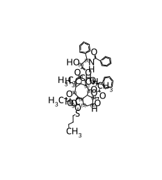 CCCCSO[C@H]1C[C@H]2OC[C@@]2(OC(C)=O)C2[C@H](OC(=O)c3ccccc3)[C@]3(O)C[C@H](OC(=O)[C@H](O)[C@@H](NC(=O)c4ccccc4)c4ccccc4)C(C)=C([C@@H](OC(C)=O)C(=O)[C@@]21C)C3(C)C